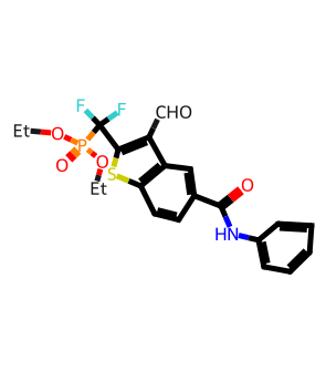 CCOP(=O)(OCC)C(F)(F)c1sc2ccc(C(=O)Nc3ccccc3)cc2c1C=O